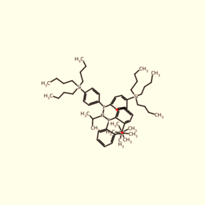 CCCC[Si](CCCC)(CCCC)c1ccc(P(c2ccc([Si](CCCC)(CCCC)CCCC)cc2)N(C(C)C)P(c2ccccc2[Si](C)(C)C)c2ccccc2[Si](C)(C)C)cc1